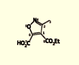 CCOC(=O)c1c(C)noc1C(=O)O